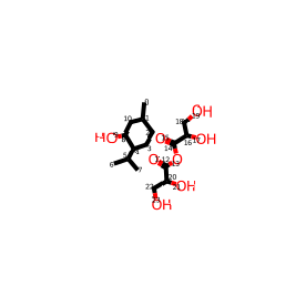 CC1CCC(C(C)C)C(O)C1.O=C(OC(=O)C(O)CO)C(O)CO